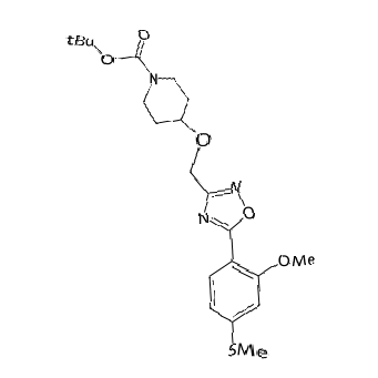 COc1cc(SC)ccc1-c1nc(COC2CCN(C(=O)OC(C)(C)C)CC2)no1